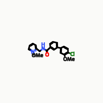 COc1cc(-c2cccc(C(=O)NCc3cccc[n+]3OC)c2)ccc1Cl